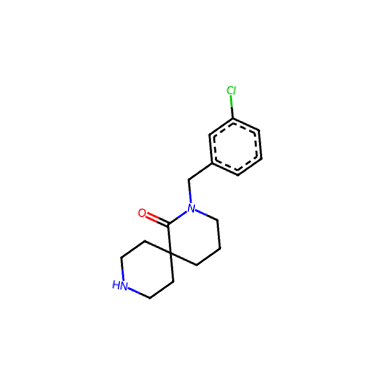 O=C1N(Cc2cccc(Cl)c2)CCCC12CCNCC2